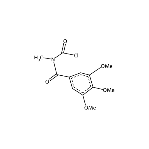 COc1cc(C(=O)N(C)C(=O)Cl)cc(OC)c1OC